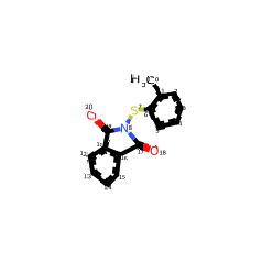 Cc1ccccc1SN1C(=O)c2ccccc2C1=O